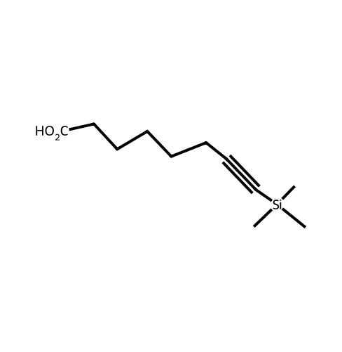 C[Si](C)(C)C#CCCCCCC(=O)O